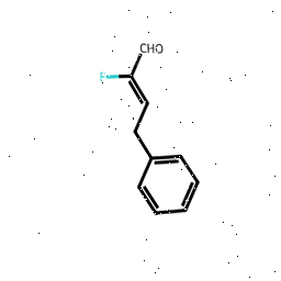 O=C/C(F)=C/Cc1ccccc1